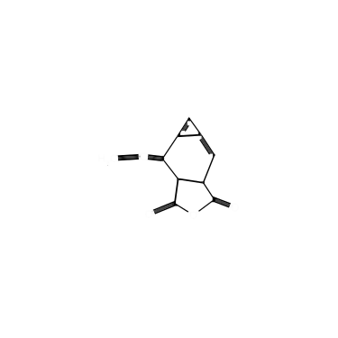 C=C=C1C2=CC2=CC2C(=O)OC(=O)C12